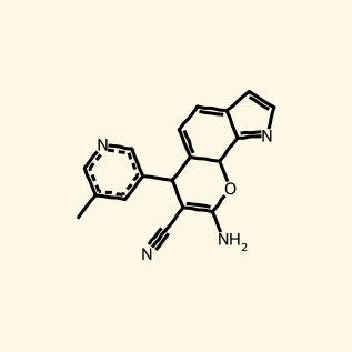 Cc1cncc(C2C3=CC=C4C=CN=C4C3OC(N)=C2C#N)c1